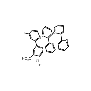 Cc1ccnc(-c2cc(C(=O)O)ccn2)c1.[Cl-].[Ir].[c-]1ccccc1-c1ccccn1.[c-]1ccccc1-c1ccccn1